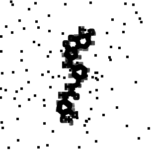 Cc1ccc(NC(=O)NCc2cccc(NC3=CC(=O)N(C4CCC(=O)NC4=O)C3)c2)cc1Cl